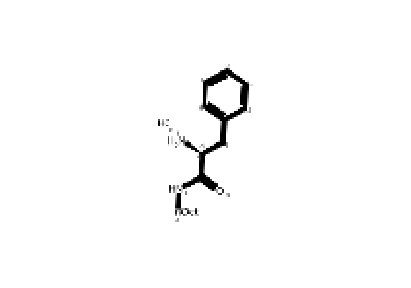 CCCCCCCCNC(=O)[C@@H](N)Cc1ccccc1.Cl